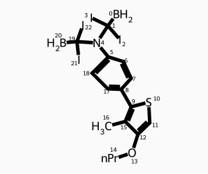 BC(I)(I)N(c1ccc(-c2scc(OCCC)c2C)cc1)C(B)(I)I